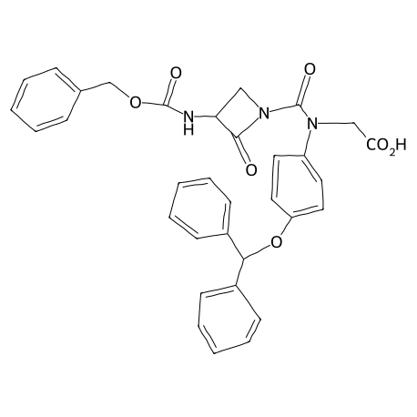 O=C(O)CN(C(=O)N1CC(NC(=O)OCc2ccccc2)C1=O)c1ccc(OC(c2ccccc2)c2ccccc2)cc1